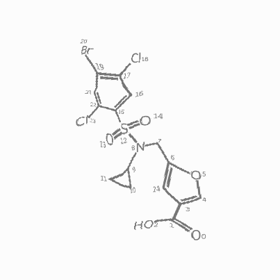 O=C(O)c1coc(CN(C2CC2)S(=O)(=O)c2cc(Cl)c(Br)cc2Cl)c1